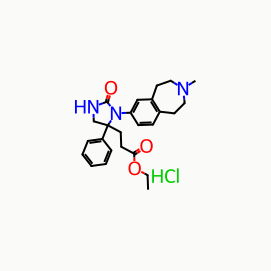 CCOC(=O)CCC1(c2ccccc2)CNC(=O)N1c1ccc2c(c1)CCN(C)CC2.Cl